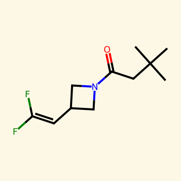 CC(C)(C)CC(=O)N1CC(C=C(F)F)C1